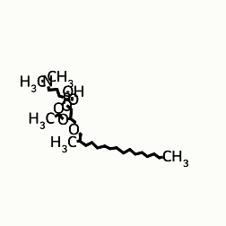 CCCCCCCCCCCCCCC(C)COCC(COP(=O)(O)CCCN(C)C)OC(C)=O